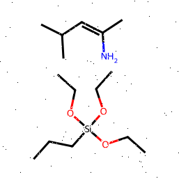 CC(N)=CC(C)C.CCC[Si](OCC)(OCC)OCC